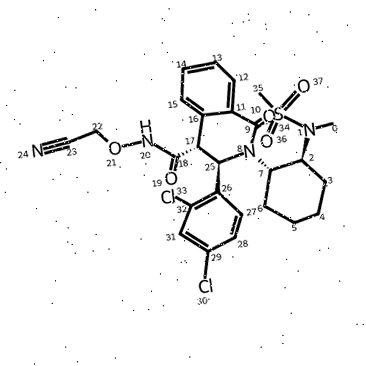 CN([C@H]1CCCC[C@@H]1N1C(=O)c2ccccc2[C@@H](C(=O)NOCC#N)[C@@H]1c1ccc(Cl)cc1Cl)S(C)(=O)=O